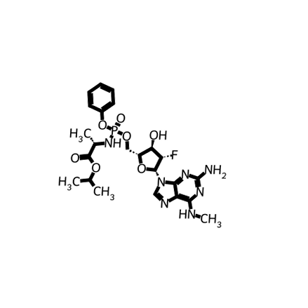 CNc1nc(N)nc2c1ncn2[C@@H]1O[C@H](COP(=O)(N[C@@H](C)C(=O)OC(C)C)Oc2ccccc2)[C@@H](O)[C@@H]1F